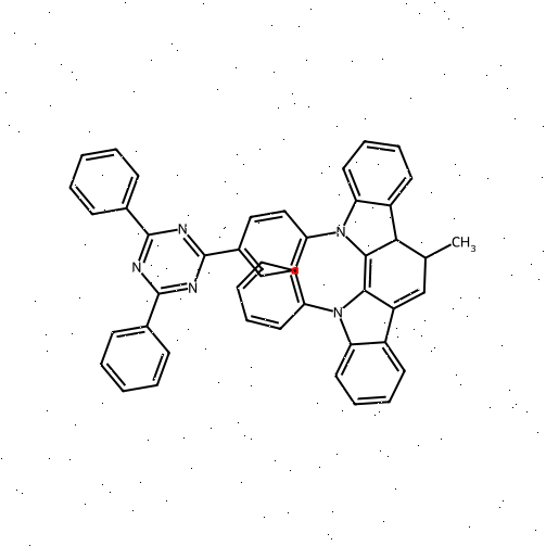 CC1C=c2c(n(-c3ccccc3)c3ccccc23)=C2C1c1ccccc1N2c1ccc(-c2nc(-c3ccccc3)nc(-c3ccccc3)n2)cc1